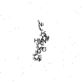 CN(C)CC#Cc1cc2c(Nc3ccc(OCc4cccc(F)c4)c(Cl)c3)ncnc2s1